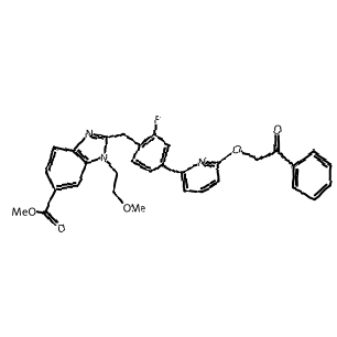 COCCn1c(Cc2ccc(-c3cccc(OCC(=O)c4ccccc4)n3)cc2F)nc2ccc(C(=O)OC)cc21